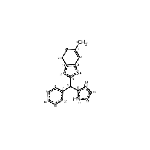 [CH2]C1=Cc2sc(C(c3ccccc3)c3ncc[nH]3)cc2CC1